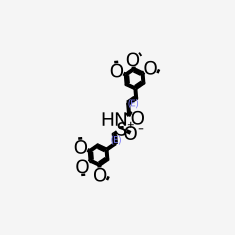 COc1cc(/C=C/C(=O)N[S+]([O-])/C=C/c2cc(OC)c(OC)c(OC)c2)cc(OC)c1OC